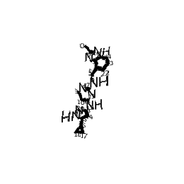 Cc1nc2c(CNc3nccc(Nc4cc(C5CC5)[nH]n4)n3)cccc2[nH]1